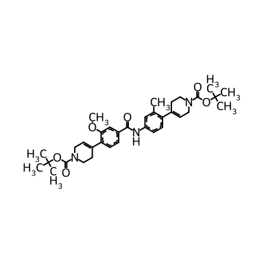 COc1cc(C(=O)Nc2ccc(C3=CCN(C(=O)OC(C)(C)C)CC3)c(C)c2)ccc1C1=CCN(C(=O)OC(C)(C)C)CC1